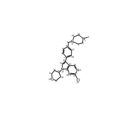 CN1CCN(Cc2ccc(-c3cn(C4CCOCC4)c4nc(Cl)ncc34)cc2)CC1